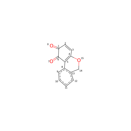 O=C1C=CC2=C(C1=O)c1ccccc1CO2